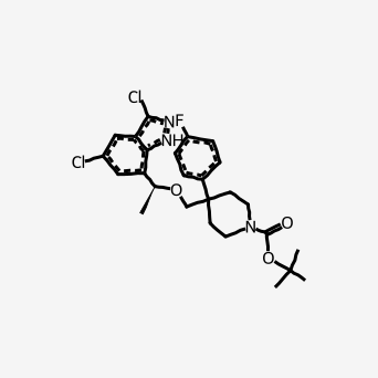 C[C@H](OCC1(c2ccc(F)cc2)CCN(C(=O)OC(C)(C)C)CC1)c1cc(Cl)cc2c(Cl)n[nH]c12